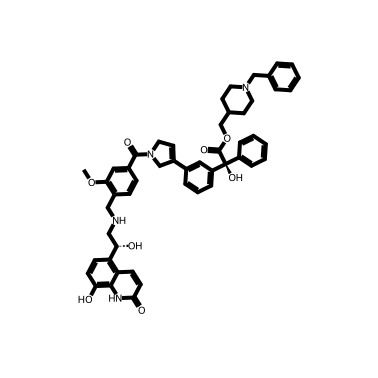 COc1cc(C(=O)N2CC=C(c3cccc([C@](O)(C(=O)OCC4CCN(Cc5ccccc5)CC4)c4ccccc4)c3)C2)ccc1CNC[C@H](O)c1ccc(O)c2[nH]c(=O)ccc12